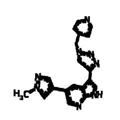 Cn1cc(-c2cnc3[nH]cc(-c4cn(Cc5ccncc5)nn4)c3c2)cn1